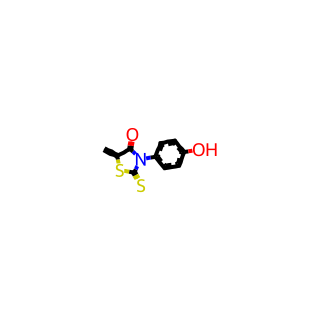 C=C1SC(=S)N(c2ccc(O)cc2)C1=O